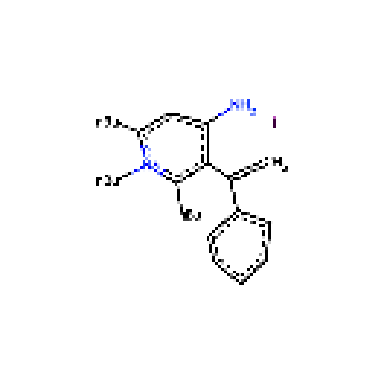 C=C(c1ccccc1)c1c(N)cc(CCCC)[n+](CCCC)c1CCCC.[I-]